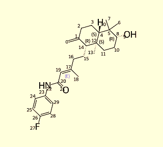 C=C1CC[C@@H]2C(C)(C)[C@H](O)CC[C@@]2(C)[C@@H]1CC/C(C)=C/C(=O)Nc1ccc(F)cc1